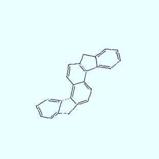 c1ccc2c(c1)Cc1ccc3c4c(ccc3c1-2)Cc1ccccc1-4